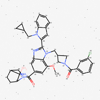 BC1(N)C2CCC1N(C(=O)c1cc(OC)c3c(c1)nc(-c1cc4ccccc4n1CC1CC1)n3CC1CN(C(=O)c3cccc(Cl)c3)C1)C2